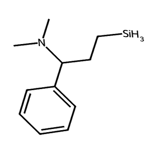 CN(C)C(CC[SiH3])c1ccccc1